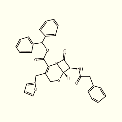 O=C(Cc1ccccc1)N[C@@H]1C(=O)N2C(C(=O)OC(c3ccccc3)c3ccccc3)=C(Cc3ccco3)CS[C@@H]12